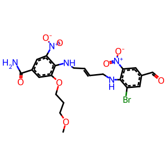 COCCCOc1cc(C(N)=O)cc([N+](=O)[O-])c1NC/C=C/CNc1c(Br)cc(C=O)cc1[N+](=O)[O-]